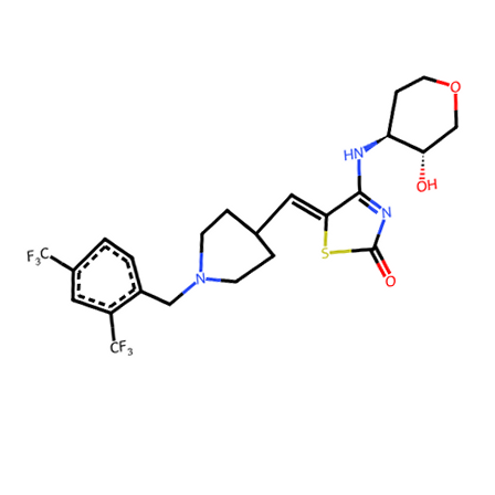 O=C1N=C(N[C@H]2CCOC[C@@H]2O)/C(=C/C2CCN(Cc3ccc(C(F)(F)F)cc3C(F)(F)F)CC2)S1